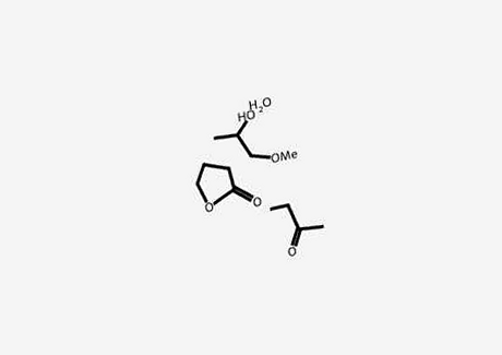 CCC(C)=O.COCC(C)O.O.O=C1CCCO1